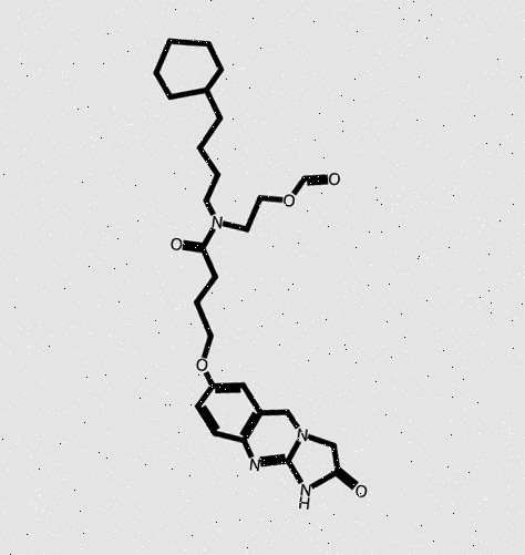 O=COCCN(CCCCC1CCCCC1)C(=O)CCCOc1ccc2c(c1)CN1CC(=O)NC1=N2